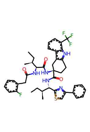 CC[C@H](C)[C@H](NC(=O)Cc1ccccc1F)C(=O)N[C@]1(C(=O)N[C@H](c2nc(-c3ccccc3)cs2)[C@@H](C)CC)CCc2[nH]c3c(C(F)(F)F)cccc3c2C1